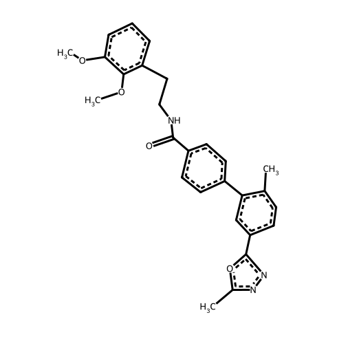 COc1cccc(CCNC(=O)c2ccc(-c3cc(-c4nnc(C)o4)ccc3C)cc2)c1OC